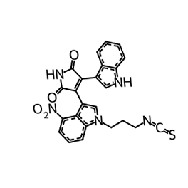 O=C1NC(=O)C(c2cn(CCCN=C=S)c3cccc([N+](=O)[O-])c23)=C1c1c[nH]c2ccccc12